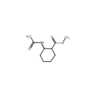 COC(=O)C1CCCCC1NC(C)=O